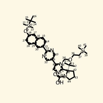 CC(C)(C)[C@]1(c2ncc(-c3cnc(-c4ccc5cc(O[Si](C)(C)C(C)(C)C)ccc5c4)nc3)n2COCC[Si](C)(C)C)CCCN1C(=O)O